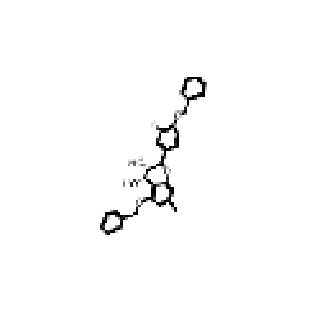 Cc1cc(OCc2ccccc2)c2c(c1)OC(c1ccc(OCc3ccccc3)c(F)c1)[C@@H](O)[C@H]2O